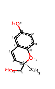 C[C@]1(CO)C=Cc2cc(O)ccc2O1